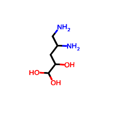 NCC(N)CC(O)C(O)O